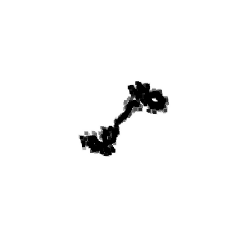 Fc1ccc2c(C3CCN(CCCCn4nnc5ccccc54)CC3)noc2c1